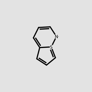 C1=C[N]S2=CC=CC2=C1